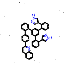 c1ccc(-c2cc(-c3ccccc3-c3cn[nH]c3)cc(-c3ccccc3-c3cn[nH]c3)c2)c(-c2ccc(-c3ccc4ccccc4n3)cc2)c1